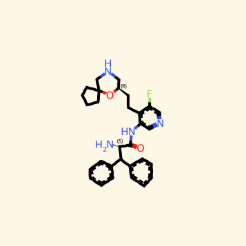 N[C@H](C(=O)Nc1cncc(F)c1CC[C@@H]1CNCC2(CCCC2)O1)C(c1ccccc1)c1ccccc1